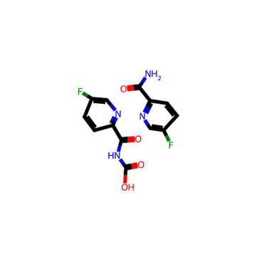 NC(=O)c1ccc(F)cn1.O=C(O)NC(=O)c1ccc(F)cn1